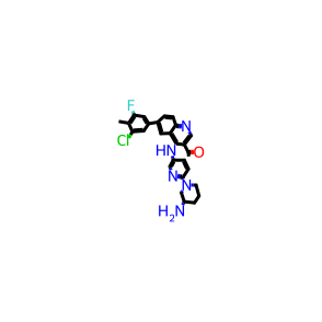 CC(=O)c1cnc2ccc(-c3cc(F)c(C)c(Cl)c3)cc2c1Nc1ccc(N2CCCC(N)C2)nc1